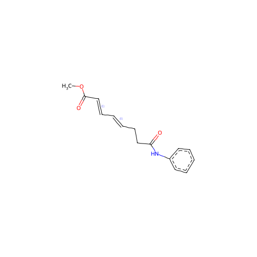 COC(=O)/C=C/C=C/CCC(=O)Nc1ccccc1